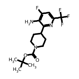 CC(C)(C)OC(=O)N1CCC(c2nc(C(F)(F)F)cc(F)c2N)CC1